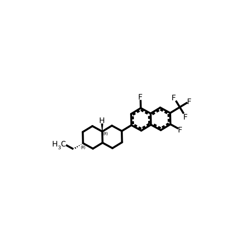 CC[C@@H]1CC[C@@H]2CC(c3cc(F)c4cc(C(F)(F)F)c(F)cc4c3)CCC2C1